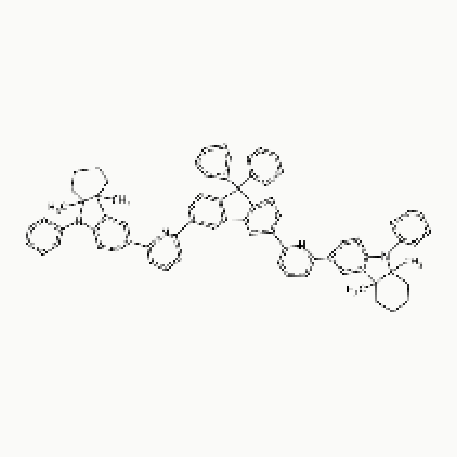 CC12CCCCC1(C)N(c1ccccc1)c1ccc(-c3cccc(-c4ccc5c(c4)-c4cc(-c6cccc(-c7ccc8c(c7)C7(C)CCCCC7(C)N8c7ccccc7)n6)ccc4C5(c4ccccc4)c4ccccc4)n3)cc12